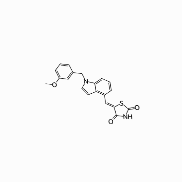 COc1cccc(Cn2ccc3c(/C=C4\SC(=O)NC4=O)cccc32)c1